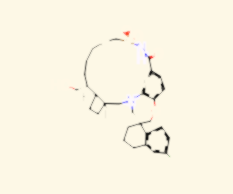 O=C1NS(=O)(=O)CCCCC[C@H](CO)[C@@H]2CC[C@H]2CN2C[C@@]3(CCCc4cc(Cl)ccc43)COc3ccc1cc32